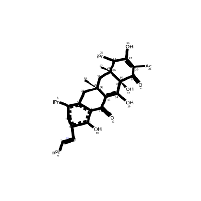 CCC/C=C/c1cc(C(C)C)c2c(c1O)C(=O)C1=C(O)[C@@]3(O)C(=O)C(C(C)=O)=C(O)C(C(C)C)[C@@]3(C)C[C@@]1(C)C2